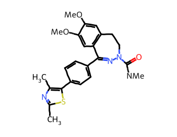 CNC(=O)N1CCc2cc(OC)c(OC)cc2C(c2ccc(-c3sc(C)nc3C)cc2)=N1